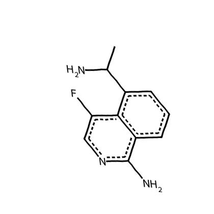 CC(N)c1cccc2c(N)ncc(F)c12